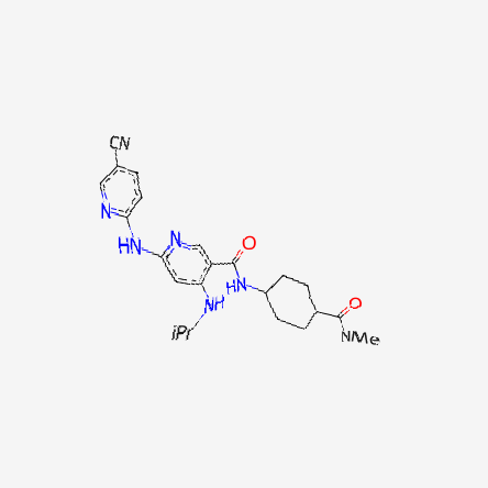 CNC(=O)C1CCC(NC(=O)c2cnc(Nc3ccc(C#N)cn3)cc2NC(C)C)CC1